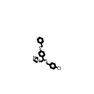 Clc1ccc(CSC(Cn2ccnc2)c2ccc(SCc3ccccc3)cc2)cc1